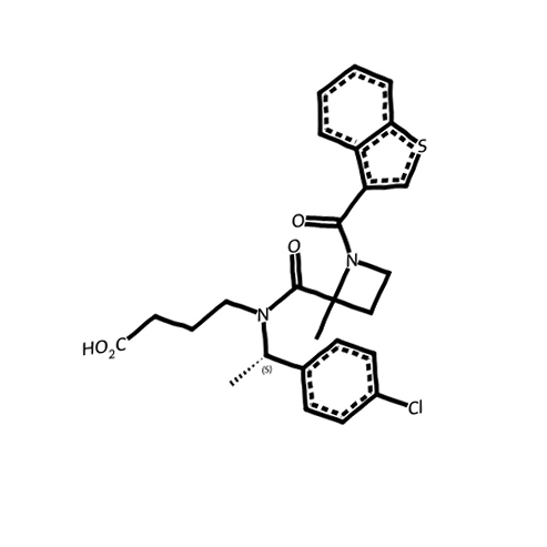 C[C@@H](c1ccc(Cl)cc1)N(CCCC(=O)O)C(=O)C1(C)CCN1C(=O)c1csc2ccccc12